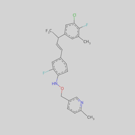 Cc1ccc(CONc2ccc(/C=C/C(c3cc(C)c(F)c(Cl)c3)C(F)(F)F)cc2F)cn1